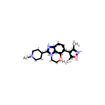 CC(=O)N1CCC(c2nc3ccc(-c4c(C)noc4C)c4c3n2CCO4)CC1